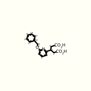 O=C(O)CC(CC(=O)O)c1cccc(OCc2ccccc2)n1